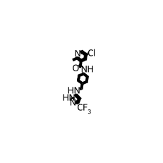 Cc1ncc(Cl)cc1C(=O)NC1CCC(CNc2cc(C(F)(F)F)n[nH]2)CC1